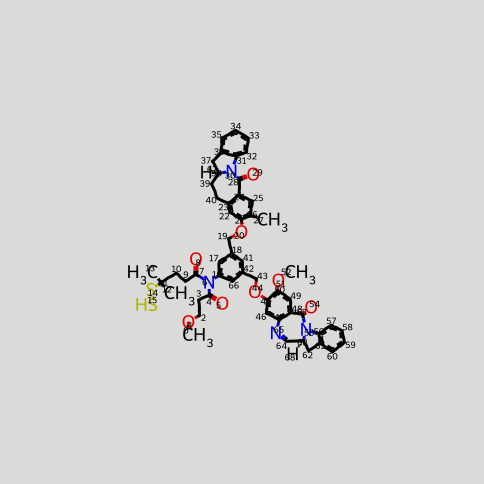 COCCC(=O)N(C(=O)CCC(C)(C)SS)c1cc(COc2cc3c(cc2C)C(=O)N2c4ccccc4C[C@H]2CC3)cc(COc2cc3c(cc2OC)C(=O)N2c4ccccc4C[C@H]2C=N3)c1